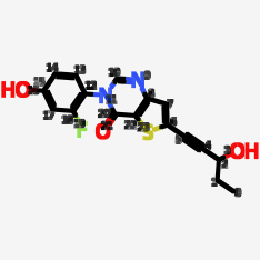 CCC(O)C#Cc1cc2ncn(-c3ccc(O)cc3F)c(=O)c2s1